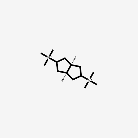 C[N+](C)(C)C1C[C@]2(C)CC([N+](C)(C)C)C[C@]2(C)C1